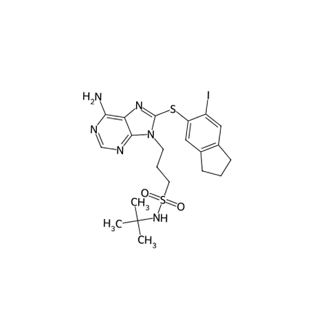 CC(C)(C)NS(=O)(=O)CCCn1c(Sc2cc3c(cc2I)CCC3)nc2c(N)ncnc21